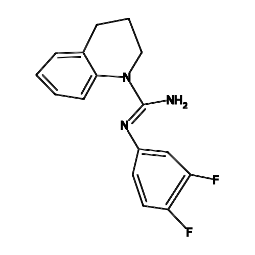 NC(=Nc1ccc(F)c(F)c1)N1CCCc2ccccc21